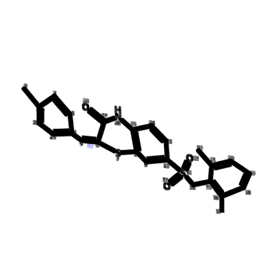 Cc1ccc(/C=C2/Sc3cc(S(=O)(=O)Cc4c(C)cccc4C)ccc3NC2=O)cc1